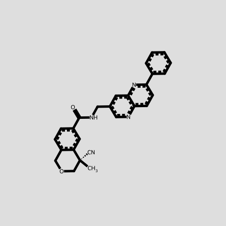 C[C@@]1(C#N)COCc2ccc(C(=O)NCc3cnc4ccc(-c5ccccc5)nc4c3)cc21